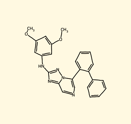 COc1cc(Nc2nc3cncc(-c4ccccc4-c4ccccc4)n3n2)cc(OC)c1